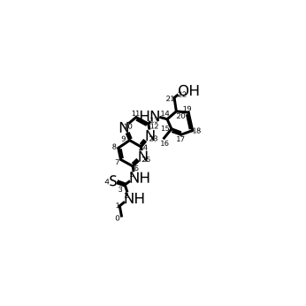 CCNC(=S)Nc1ccc2ncc(NC3C(C)=CC=CC3CO)nc2n1